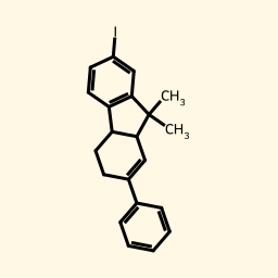 CC1(C)c2cc(I)ccc2C2CCC(c3ccccc3)=CC21